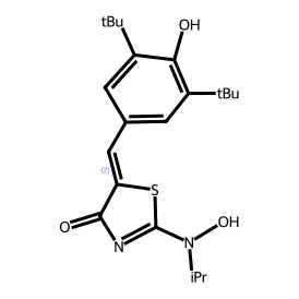 CC(C)N(O)C1=NC(=O)/C(=C/c2cc(C(C)(C)C)c(O)c(C(C)(C)C)c2)S1